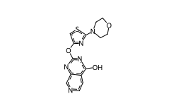 Oc1nc(Oc2csc(N3CCOCC3)n2)nc2cnccc12